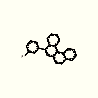 Brc1cccc(-c2cc3ccc4ccccc4c3c3ccccc23)c1